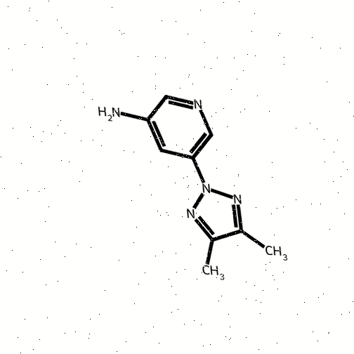 Cc1nn(-c2cncc(N)c2)nc1C